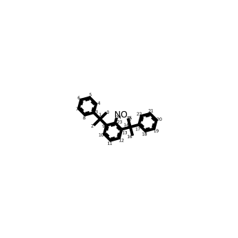 CC(C)(c1ccccc1)c1cccc(C(C)(C)c2ccccc2)c1[N+](=O)[O-]